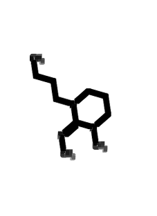 CCCCN1CCCN(C)/C1=N\C